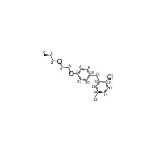 C=CCOCCOc1ccc(Cc2cc(C)ccc2Cl)cc1